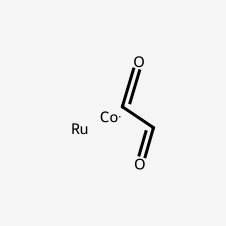 O=CC=O.[Co].[Ru]